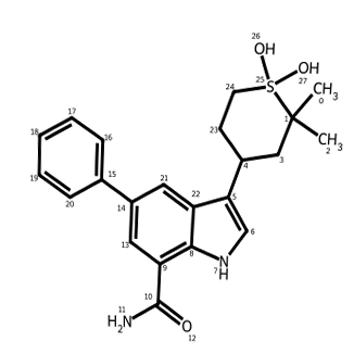 CC1(C)CC(c2c[nH]c3c(C(N)=O)cc(-c4ccccc4)cc23)CCS1(O)O